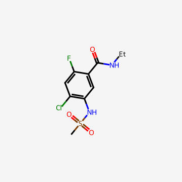 CCNC(=O)c1cc(NS(C)(=O)=O)c(Cl)cc1F